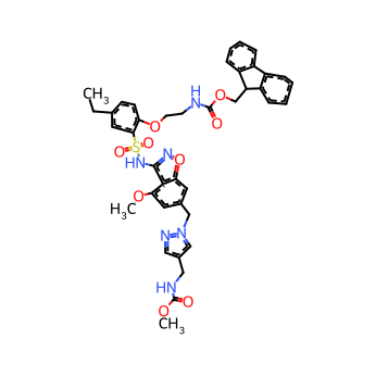 CCc1ccc(OCCNC(=O)OCC2c3ccccc3-c3ccccc32)c(S(=O)(=O)Nc2noc3cc(Cn4cc(CNC(=O)OC)cn4)cc(OC)c23)c1